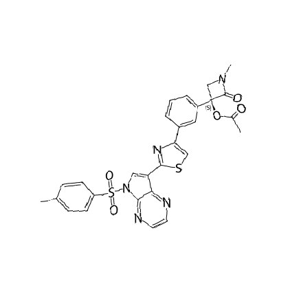 CC(=O)O[C@@]1(c2cccc(-c3csc(-c4cn(S(=O)(=O)c5ccc(C)cc5)c5nccnc45)n3)c2)CN(C)C1=O